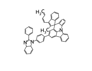 C=C/C=C\C1=C(C)C2(c3ccccc31)c1ccccc1-n1c3ccccc3c3cc(-c4ccc(N5C(c6ccccc6)=NC6C=CC=CC65)cc4)cc2c31